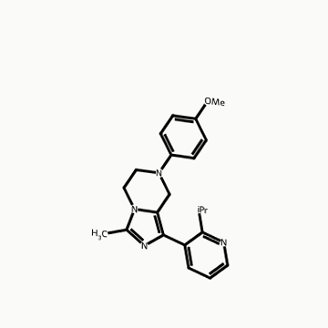 COc1ccc(N2CCn3c(C)nc(-c4cccnc4C(C)C)c3C2)cc1